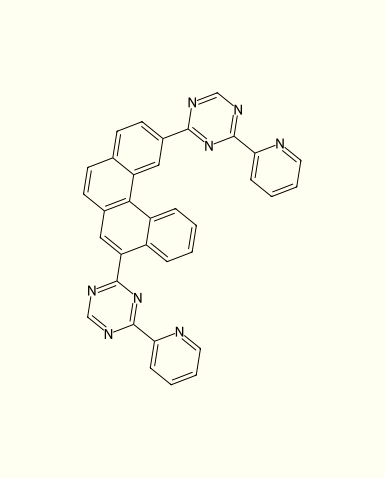 c1ccc(-c2ncnc(-c3ccc4ccc5cc(-c6ncnc(-c7ccccn7)n6)c6ccccc6c5c4c3)n2)nc1